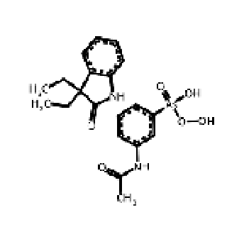 CC(=O)Nc1cccc([As](=O)(O)OO)c1.CCC1(CC)C(=O)Nc2ccccc21